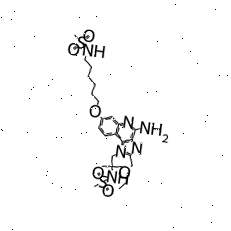 CCOCc1nc2c(N)nc3cc(OCCCCCCNS(C)(=O)=O)ccc3c2n1CC(C)(C)NS(C)(=O)=O